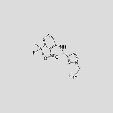 CCn1ccc(CNc2cccc(C(F)(F)F)c2[N+](=O)[O-])n1